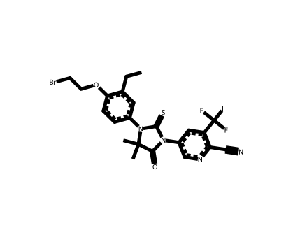 CCc1cc(N2C(=S)N(c3cnc(C#N)c(C(F)(F)F)c3)C(=O)C2(C)C)ccc1OCCBr